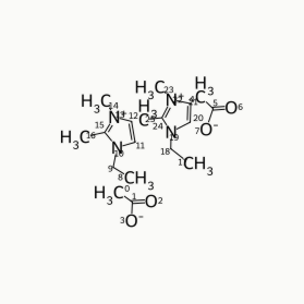 CC(=O)[O-].CC(=O)[O-].CCn1cc[n+](C)c1C.CCn1cc[n+](C)c1C